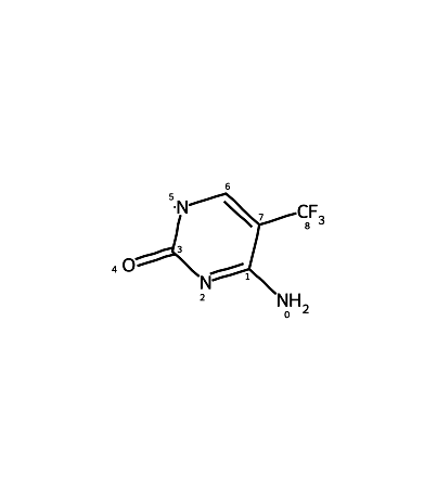 NC1=NC(=O)[N]C=C1C(F)(F)F